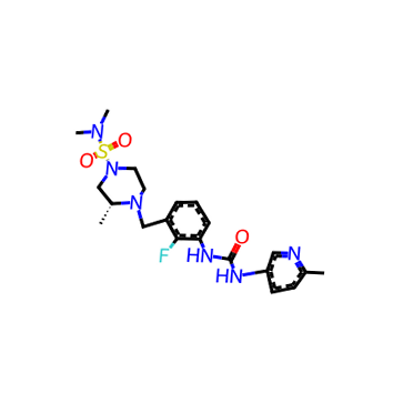 Cc1ccc(NC(=O)Nc2cccc(CN3CCN(S(=O)(=O)N(C)C)C[C@H]3C)c2F)cn1